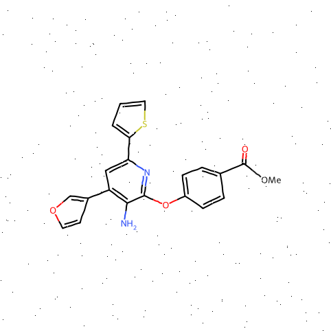 COC(=O)c1ccc(Oc2nc(-c3cccs3)cc(-c3ccoc3)c2N)cc1